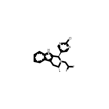 C[C@@H]1Cc2c([nH]c3ccccc23)[C@@H](c2cnc(Cl)nc2)N1CC(F)F